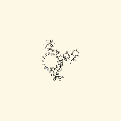 Cc1nc2ccccc2c2c1O[C@]1(CC2)C[C@H]2C(=O)N[C@]3(C(=O)N4C5(CC5)S4(=O)=O)C[C@H]3/C=C\CCCCC[C@H](NC(=O)OC(C)(C(F)(F)F)C(F)(F)F)C(=O)N2C1